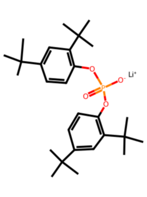 CC(C)(C)c1ccc(OP(=O)([O-])Oc2ccc(C(C)(C)C)cc2C(C)(C)C)c(C(C)(C)C)c1.[Li+]